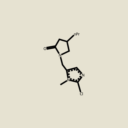 CCCC1CC(=O)N(Cc2cnc(Cl)n2C)C1